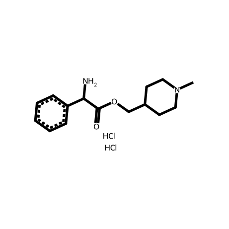 CN1CCC(COC(=O)C(N)c2ccccc2)CC1.Cl.Cl